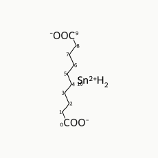 O=C([O-])CCCCCCCCC(=O)[O-].[SnH2+2]